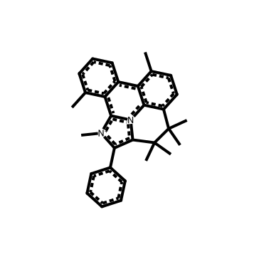 Cc1ccc2c3c1c1cccc(C)c1c1n3c(c(-c3ccccc3)[n+]1C)C(C)(C)C2(C)C